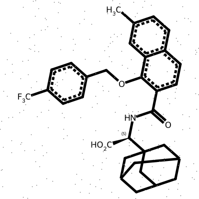 Cc1ccc2ccc(C(=O)N[C@H](C(=O)O)C34CC5CC(CC(C5)C3)C4)c(OCc3ccc(C(F)(F)F)cc3)c2c1